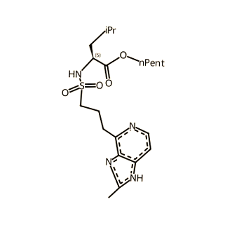 CCCCCOC(=O)[C@H](CC(C)C)NS(=O)(=O)CCCc1nccc2[nH]c(C)nc12